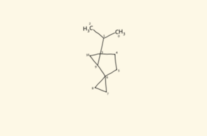 CC(C)C12CCC3(CC3)C1C2